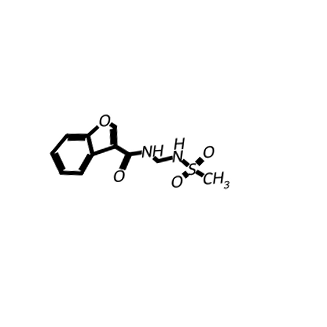 CS(=O)(=O)NCNC(=O)c1coc2ccccc12